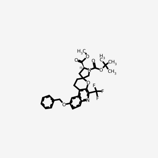 COC(=O)[C@@H]1CC2(CCc3c(c(C(F)(F)F)nc4ccc(OCc5ccccc5)cc34)O2)CN1C(=O)OC(C)(C)C